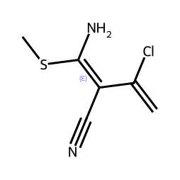 C=C(Cl)/C(C#N)=C(\N)SC